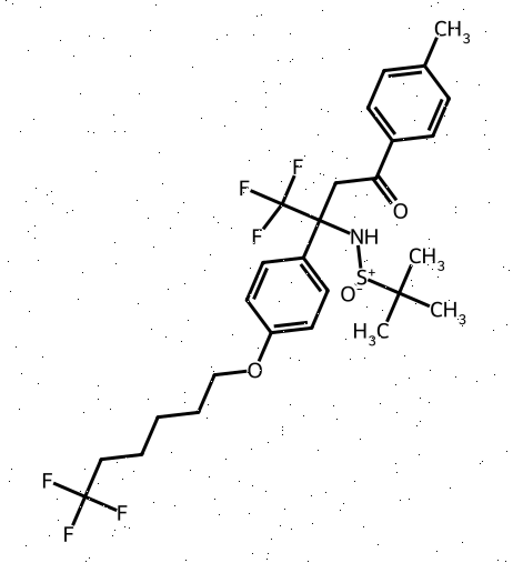 Cc1ccc(C(=O)CC(N[S+]([O-])C(C)(C)C)(c2ccc(OCCCCCC(F)(F)F)cc2)C(F)(F)F)cc1